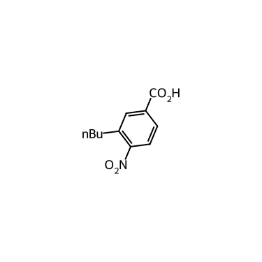 CCCCc1cc(C(=O)O)ccc1[N+](=O)[O-]